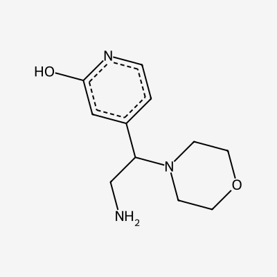 NCC(c1ccnc(O)c1)N1CCOCC1